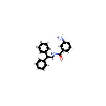 Nc1c[c]cc(C(=O)NCC(c2ccccc2)c2ccccc2)c1